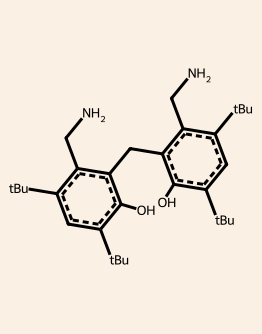 CC(C)(C)c1cc(C(C)(C)C)c(CN)c(Cc2c(O)c(C(C)(C)C)cc(C(C)(C)C)c2CN)c1O